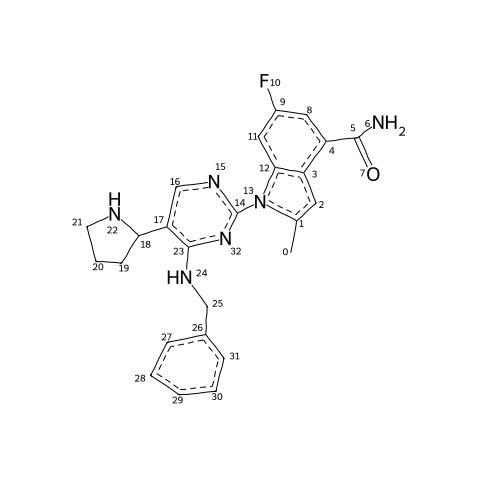 Cc1cc2c(C(N)=O)cc(F)cc2n1-c1ncc(C2CCCN2)c(NCc2ccccc2)n1